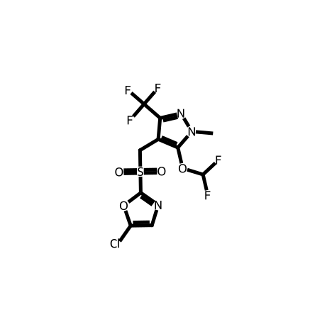 Cn1nc(C(F)(F)F)c(CS(=O)(=O)c2ncc(Cl)o2)c1OC(F)F